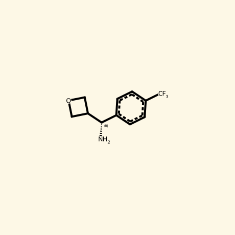 N[C@@H](c1ccc(C(F)(F)F)cc1)C1COC1